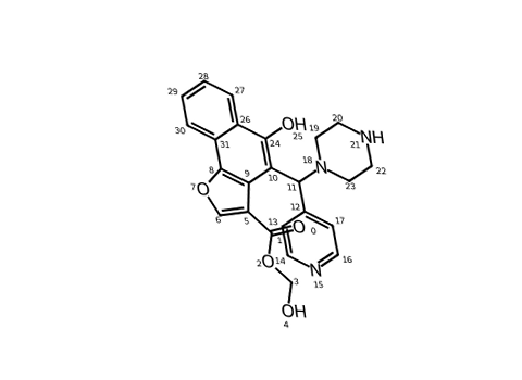 O=C(OCO)c1coc2c1c(C(c1ccncc1)N1CCNCC1)c(O)c1ccccc12